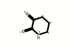 O=C1CCCPC1=O